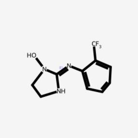 ON1CCN/C1=N\c1ccccc1C(F)(F)F